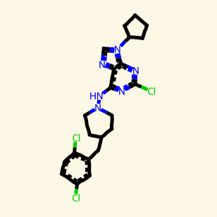 Clc1ccc(Cl)c(CC2CCN(Nc3nc(Cl)nc4c3ncn4C3CCCC3)CC2)c1